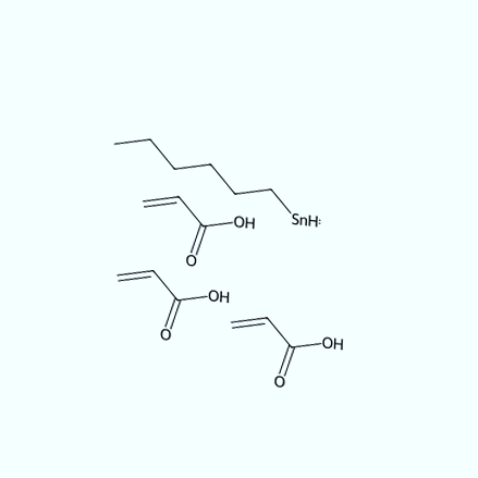 C=CC(=O)O.C=CC(=O)O.C=CC(=O)O.CCCCC[CH2][SnH]